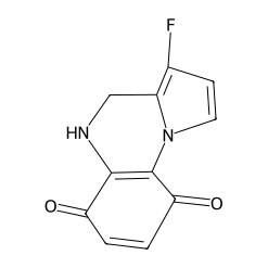 O=C1C=CC(=O)C2=C1NCc1c(F)ccn12